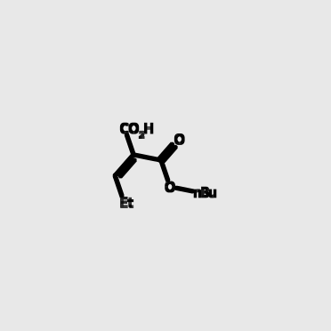 CCC=C(C(=O)O)C(=O)OCCCC